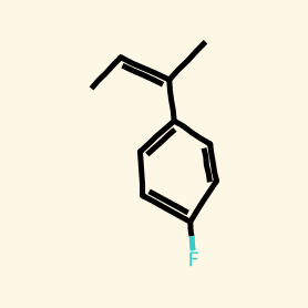 C/C=C(/C)c1ccc(F)cc1